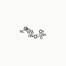 CC(C)(C)C(=O)N(CC(=O)Nc1ccc2c(c1)C[C@@]1(C2)C(=O)Nc2ncccc21)Cc1ccccc1C#N